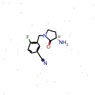 N#Cc1ccc(F)c(CN2CC[C@H](N)C2=O)c1